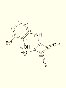 CCc1cccc(Nc2c(C)c(=O)c2=O)c1O